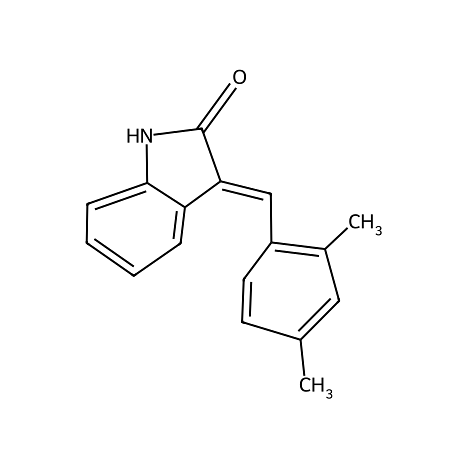 Cc1ccc(/C=C2/C(=O)Nc3ccccc32)c(C)c1